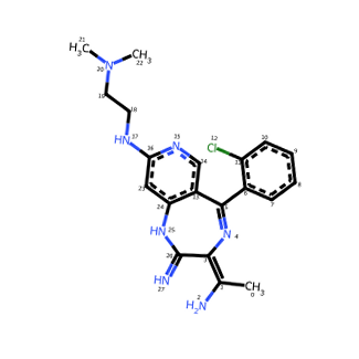 C/C(N)=C1\N=C(c2ccccc2Cl)c2cnc(NCCN(C)C)cc2NC1=N